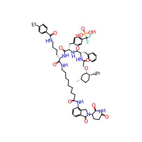 CCc1ccc(C(=O)NCCCC[C@H](NC(=O)[C@H](Cc2ccc(C(F)(F)P(=O)(O)O)cc2)NC(=O)[C@H](Cc2ccccc2)NC(=O)CO[C@H]2C[C@@H](C)CC[C@@H]2C(C)C)C(=O)NCCCCCCCCC(=O)Nc2cccc3c2CN(C2CCC(=O)NC2=O)C3=O)cc1